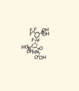 O=C(O)CNC(=O)C1=CC(B(O)O)=CC(C(F)(F)c2cc(B(O)O)cc(C(F)(F)F)c2)C1